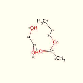 CCCOC(C)=O.OCCO